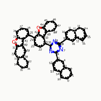 c1ccc2cc(-c3nc(-c4ccc5ccccc5c4)nc(-c4ccc(-c5cccc6oc7cc8ccccc8cc7c56)c5oc6ccccc6c45)n3)ccc2c1